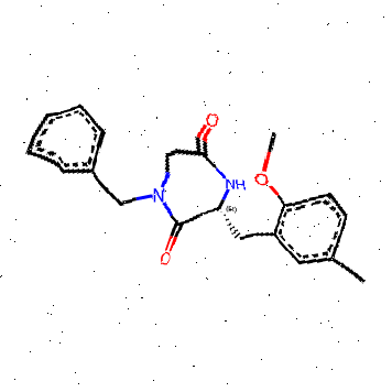 COc1ccc(C)cc1C[C@H]1NC(=O)CN(Cc2ccccc2)C1=O